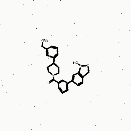 CNCc1cccc(C2CCN(C(=O)c3cccc(-c4ccc5c(c4)B(O)OC5)c3)CC2)c1